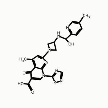 Cc1ccc(C(O)NC2CN(c3cc(C)c4c(=O)c(C(=O)O)cn(-c5ncns5)c4n3)C2)nc1